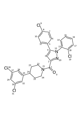 O=C(c1[c]c(-c2ccc(Cl)cc2)n(-c2ccccc2Cl)n1)N1CCC(c2cc(Cl)cc(Cl)c2)CC1